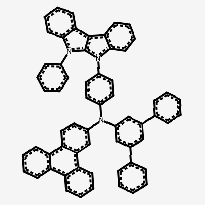 c1ccc(-c2cc(-c3ccccc3)cc(N(c3ccc(-n4c5ccccc5c5c6ccccc6n(-c6ccccc6)c54)cc3)c3ccc4c5ccccc5c5ccccc5c4c3)c2)cc1